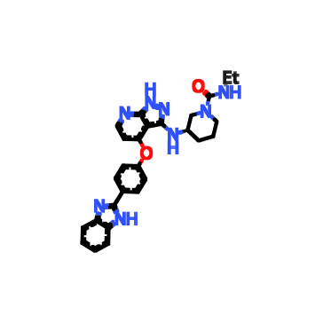 CCNC(=O)N1CCC[C@@H](Nc2n[nH]c3nccc(Oc4ccc(-c5nc6ccccc6[nH]5)cc4)c23)C1